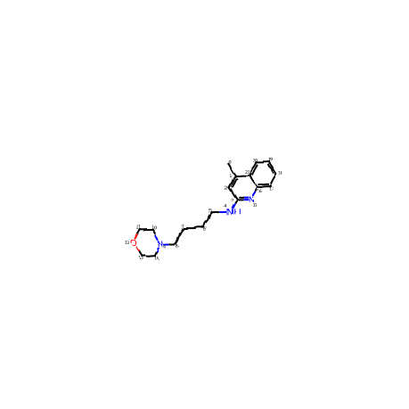 Cc1cc(NCCCCN2CCOCC2)nc2ccccc12